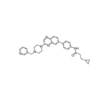 O=C(CCC1CC1)Nc1ccc(-c2ccc3ncc(N4CCN(Cc5cccnc5)CC4)nc3c2)cc1